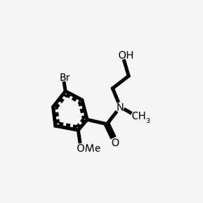 COc1ccc(Br)cc1C(=O)N(C)CCO